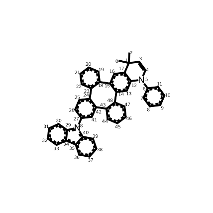 CC1(C)C=CN(c2ccccc2)c2cc3c(cc21)-c1ccccc1-c1ccc(-n2c4ccccc4c4ccccc42)cc1-c1ccccc1-3